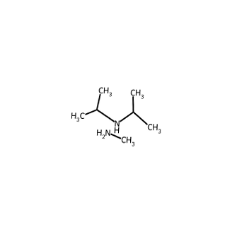 CC(C)NC(C)C.CN